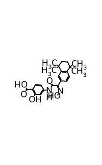 CC1(C)CCC(C)(C)c2cc(C(=NO)C(=O)Nc3ccc(C(=O)O)c(O)c3)ccc21